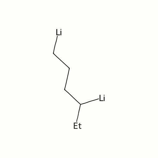 [Li][CH2]CC[CH]([Li])CC